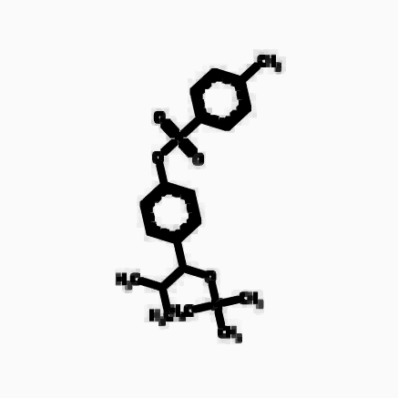 Cc1ccc(S(=O)(=O)Oc2ccc(C(O[Si](C)(C)C)C(C)C)cc2)cc1